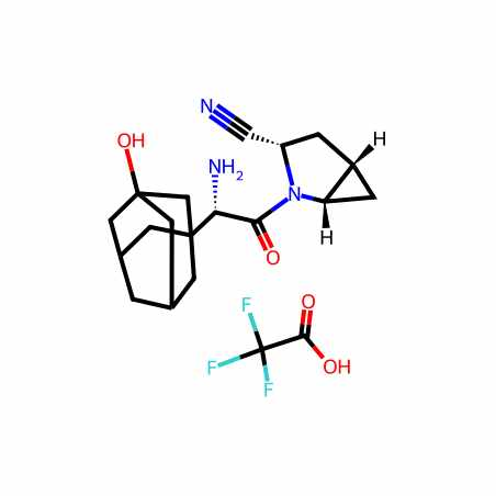 N#C[C@@H]1C[C@@H]2C[C@@H]2N1C(=O)[C@@H](N)C12CC3CC(CC(O)(C3)C1)C2.O=C(O)C(F)(F)F